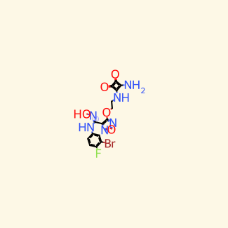 Nc1c(NCCOc2nonc2/C(=N/O)Nc2ccc(F)c(Br)c2)c(=O)c1=O